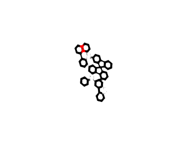 c1ccc(-c2ccccc2N(c2ccccc2)c2ccc3c(c2)C2(c4ccccc4-3)c3ccccc3-c3c(N(c4ccccc4)c4ccc5sc6ccccc6c5c4)cccc32)cc1